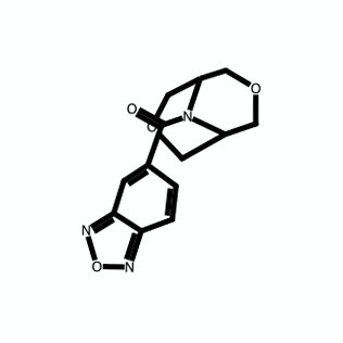 O=C(c1ccc2nonc2c1)N1C2COCC1COC2